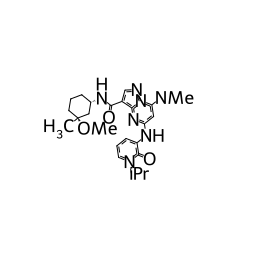 CNc1cc(Nc2cccn(C(C)C)c2=O)nc2c(C(=O)N[C@H]3CCC[C@](C)(OC)C3)cnn12